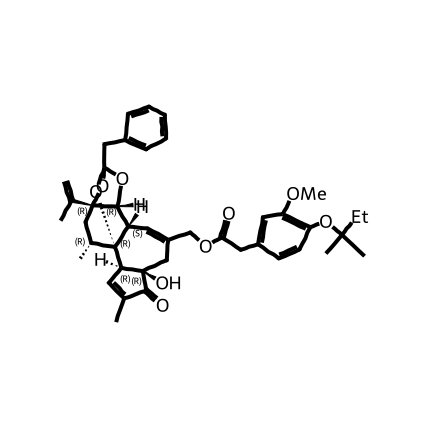 C=C(C)[C@]12C[C@@H](C)[C@@]34OC(Cc5ccccc5)(O[C@@H]1[C@@H]3C=C(COC(=O)Cc1ccc(OC(C)(C)CC)c(OC)c1)C[C@]1(O)C(=O)C(C)=C[C@@H]41)O2